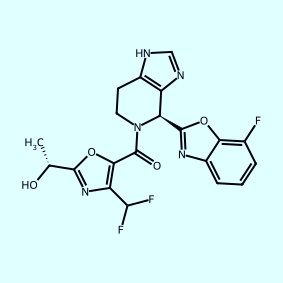 C[C@@H](O)c1nc(C(F)F)c(C(=O)N2CCc3[nH]cnc3[C@H]2c2nc3cccc(F)c3o2)o1